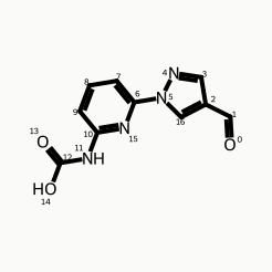 O=Cc1cnn(-c2cccc(NC(=O)O)n2)c1